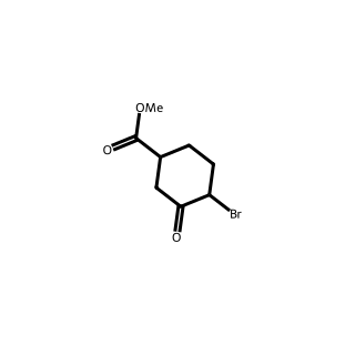 COC(=O)C1CCC(Br)C(=O)C1